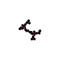 c1ccc(-c2ccc(-c3ccc(N(c4ccc(-c5ccc6oc7cc(-c8ccc9c(ccc%10c9oc9cccc(-c%11ccccc%11N(c%11ccc(-c%12ccc(-c%13ccccc%13)c(-c%13ccccc%13)c%12)cc%11)c%11ccc(-c%12cccc%13c%12sc%12ccccc%12%13)cc%11)c9%10)c8)ccc7c6c5)cc4)c4ccccc4-c4cccc5oc6c7ccccc7ccc6c45)cc3)cc2-c2ccccc2)cc1